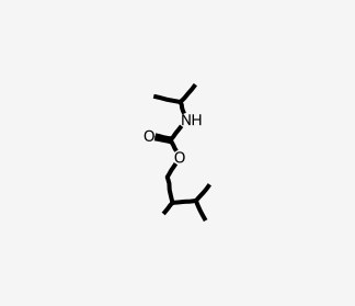 CC(C)NC(=O)OCC(C)C(C)C